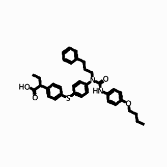 CCCCOc1ccc(NC(=O)N(CCCc2ccccc2)c2ccc(Sc3ccc(C(CC)C(=O)O)cc3)cc2)cc1